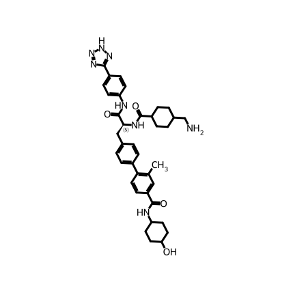 Cc1cc(C(=O)NC2CCC(O)CC2)ccc1-c1ccc(C[C@H](NC(=O)C2CCC(CN)CC2)C(=O)Nc2ccc(-c3nn[nH]n3)cc2)cc1